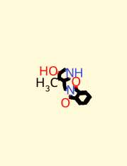 CC1C(O)CNCC1CN1C(=O)c2ccccc2C1=O